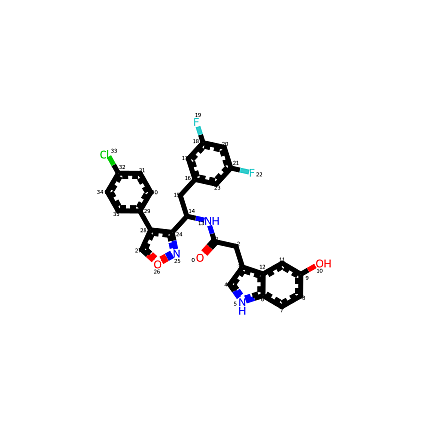 O=C(Cc1c[nH]c2ccc(O)cc12)NC(Cc1cc(F)cc(F)c1)c1nocc1-c1ccc(Cl)cc1